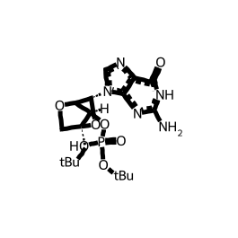 CC(C)(C)C[C@@]12COC([C@H](n3cnc4c(=O)[nH]c(N)nc43)O1)[C@H]2OP(=O)(O)OC(C)(C)C